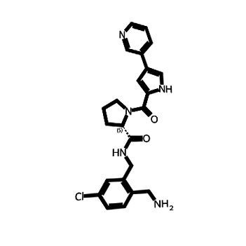 NCc1ccc(Cl)cc1CNC(=O)[C@@H]1CCCN1C(=O)c1cc(-c2cccnc2)c[nH]1